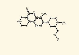 CCOC[C@H]1CN(c2ccc3c4c(c(=O)oc3c2C)CNCC4)CCN1C